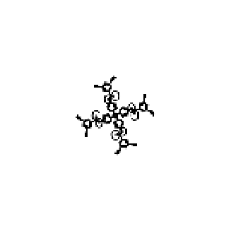 C#Cc1cc(C#C)cc(C(=O)Oc2ccc(C(c3ccc(OC(=O)c4cc(C#C)cc(C#C)c4)cc3)(c3ccc(OC(=O)c4cc(C#C)cc(C#C)c4)cc3)c3ccc(OC(=O)c4cc(C#C)cc(C#C)c4)cc3)cc2)c1